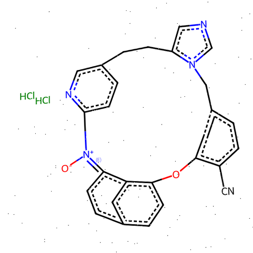 Cl.Cl.N#Cc1ccc2cc1Oc1ccc3cc/c(c1c3)=[N+](\[O-])c1ccc(cn1)CCc1cncn1C2